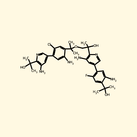 CC(C)(O)c1cc(F)c(-c2cnc(C(C)(O)COC(C)(C)c3cc(Cl)c(-c4cnc(C(C)(C)O)c(N)c4)cc3N)c(N)c2)cc1N